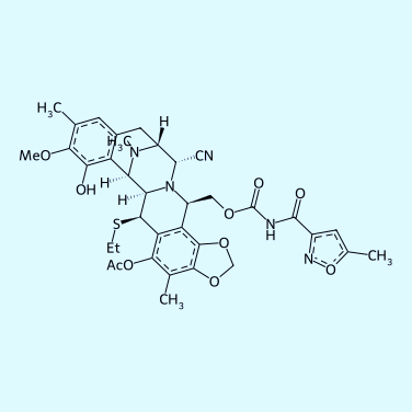 CCS[C@@H]1c2c(OC(C)=O)c(C)c3c(c2[C@H](COC(=O)NC(=O)c2cc(C)on2)N2[C@@H]1[C@H]1c4c(cc(C)c(OC)c4O)C[C@H]([C@@H]2C#N)N1C)OCO3